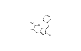 CN(Cc1cc(Br)c(Sc2ccccc2)s1)C(=O)O